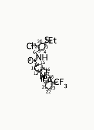 CCSc1ccc(CNC(=O)c2ccc3c(c2)cc(Cc2ccccc2C(F)(F)F)n3C(C)C)c(Cl)c1